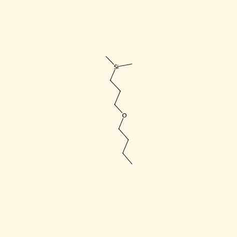 CCCCOCCC[Si](C)C